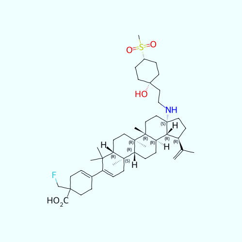 C=C(C)[C@@H]1CC[C@]2(NCC[C@]3(O)CC[C@@H](S(C)(=O)=O)CC3)CC[C@]3(C)[C@H](CC[C@@H]4[C@@]5(C)CC=C(C6=CCC(CF)(C(=O)O)CC6)C(C)(C)[C@@H]5CC[C@]43C)[C@@H]12